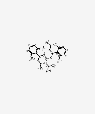 CC(C)CCC(OP(OC(CCC(C)C)c1c(C(C)(C)C)cccc1C(C)(C)C)OP(O)O)c1c(C(C)(C)C)cccc1C(C)(C)C